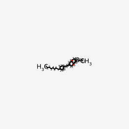 CCCCCCCCc1ccc(C#Cc2ccc3cc(OCCC)ccc3c2)cc1